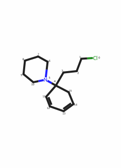 ClCCCC1(N2CCCCC2)C=CC=CC1